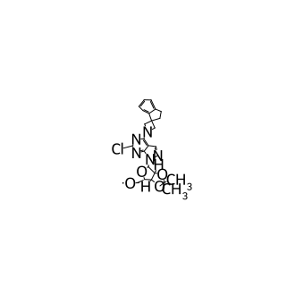 CC1(C)O[C@@H]2[C@H](O1)[C@@H](C[O])O[C@H]2n1ncc2c(N3CC4(CCc5ccccc54)C3)nc(Cl)nc21